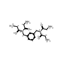 NCC(=O)N(Cc1cccc(CN(C(=O)CN)C(=O)CN)c1)C(=O)CN